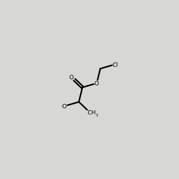 CC([O])C(=O)OCCl